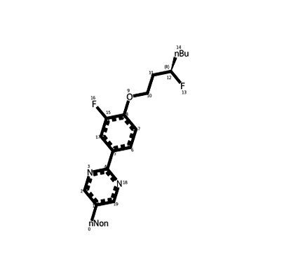 CCCCCCCCCc1cnc(-c2ccc(OCC[C@H](F)CCCC)c(F)c2)nc1